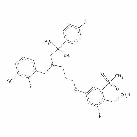 CC(C)(CN(CCCOc1cc(F)c(CC(=O)O)c(S(C)(=O)=O)c1)Cc1cccc(C(F)(F)F)c1F)c1ccc(F)cc1